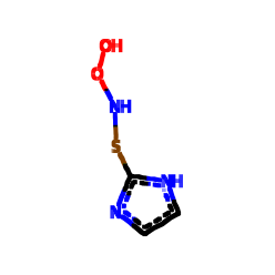 OONSc1ncc[nH]1